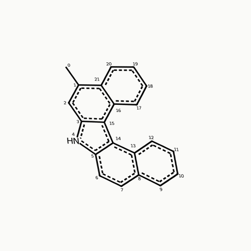 Cc1cc2[nH]c3ccc4ccccc4c3c2c2ccccc12